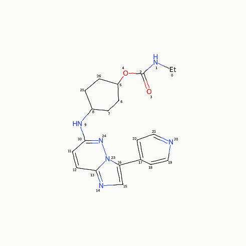 CCNC(=O)OC1CCC(Nc2ccc3ncc(-c4ccncc4)n3n2)CC1